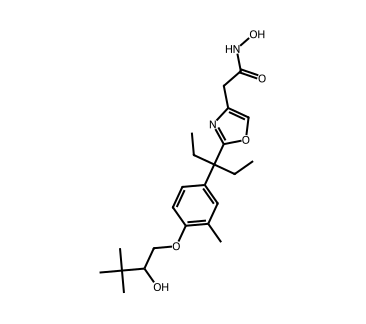 CCC(CC)(c1ccc(OCC(O)C(C)(C)C)c(C)c1)c1nc(CC(=O)NO)co1